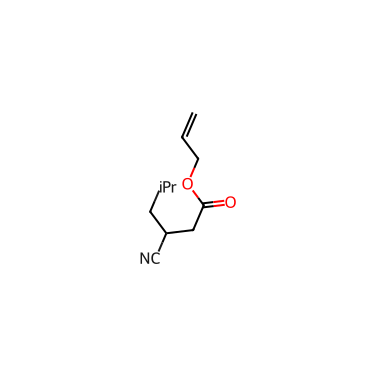 C=CCOC(=O)CC(C#N)CC(C)C